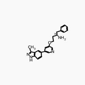 Cc1n[nH]c2ccc(-c3cncc(OCC[C@H](N)Cc4ccccc4)c3)cc12